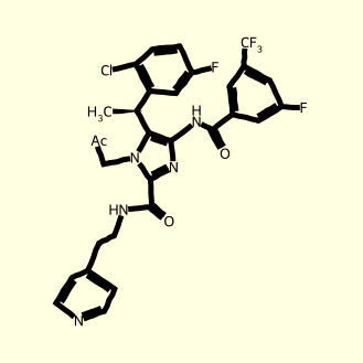 CC(=O)Cn1c(C(=O)NCCc2ccncc2)nc(NC(=O)c2cc(F)cc(C(F)(F)F)c2)c1[C@@H](C)c1cc(F)ccc1Cl